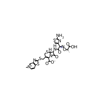 C[C@H](O/N=C(\C(=O)NC1C(=O)N2C(C(=O)[O-])=C(CSc3nc4c[n+](C)ccc4s3)CS[C@@H]12)c1csc(N)n1)C(=O)O